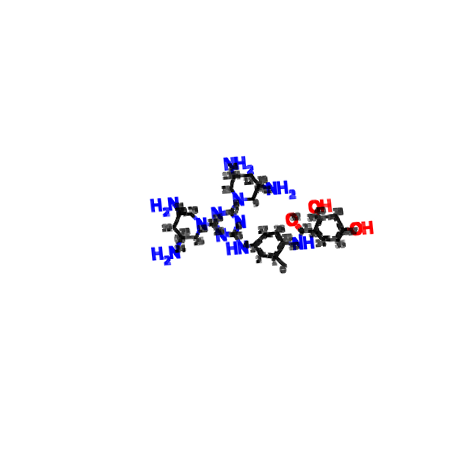 Cc1cc(Nc2nc(N3C[C@H](N)C[C@H](N)C3)nc(N3C[C@H](N)C[C@H](N)C3)n2)ccc1NC(=O)c1ccc(O)cc1O